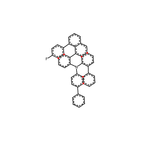 Fc1ccc(-c2cccc3cccc(-c4ccccc4N(c4ccc(-c5ccccc5)cc4)c4ccccc4-c4ccccc4)c23)cc1